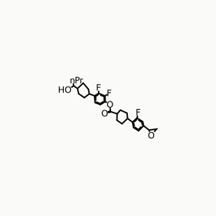 CCCC(O)C1CCC(c2ccc(OC(=O)C3CCC(c4ccc(C5CO5)cc4F)CC3)c(F)c2F)CC1